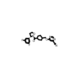 N#Cc1cc(OCC2CCC(C(=O)N3OCC[C@H]3c3cc(F)cc(F)c3)CC2)ncn1